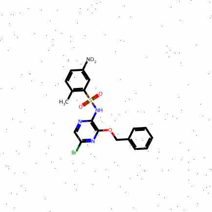 Cc1ccc([N+](=O)[O-])cc1S(=O)(=O)Nc1ncc(Br)nc1OCc1ccccc1